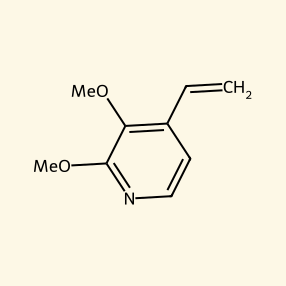 C=Cc1ccnc(OC)c1OC